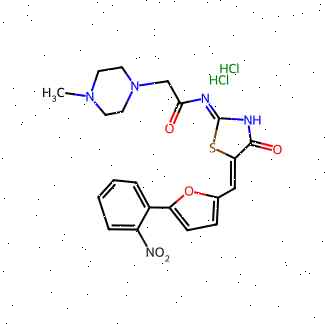 CN1CCN(CC(=O)N=C2NC(=O)C(=Cc3ccc(-c4ccccc4[N+](=O)[O-])o3)S2)CC1.Cl.Cl